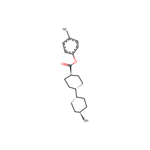 CCC[C@H]1CC[C@H]([C@H]2CC[C@H](C(=O)Oc3ccc(C#N)cc3)CC2)CC1